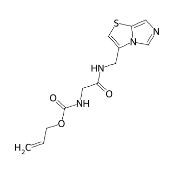 C=CCOC(=O)NCC(=O)NCc1csc2cncn12